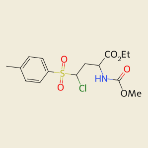 CCOC(=O)C(CC(Cl)S(=O)(=O)c1ccc(C)cc1)NC(=O)OC